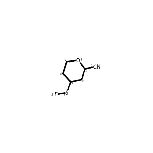 N#CC1CC(SF)CCO1